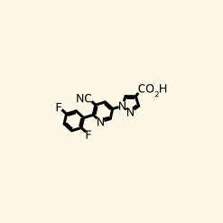 N#Cc1cc(-n2cc(C(=O)O)cn2)cnc1-c1cc(F)ccc1F